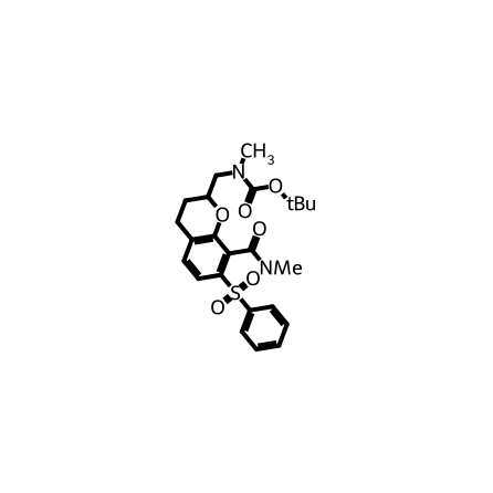 CNC(=O)c1c(S(=O)(=O)c2ccccc2)ccc2c1OC(CN(C)C(=O)OC(C)(C)C)CC2